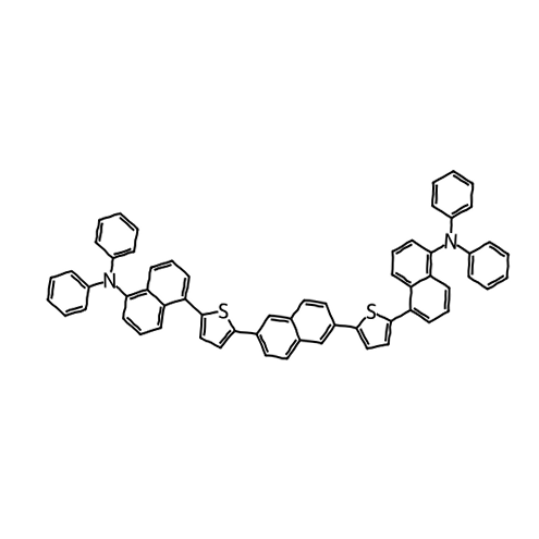 c1ccc(N(c2ccccc2)c2cccc3c(-c4ccc(-c5ccc6cc(-c7ccc(-c8cccc9c(N(c%10ccccc%10)c%10ccccc%10)cccc89)s7)ccc6c5)s4)cccc23)cc1